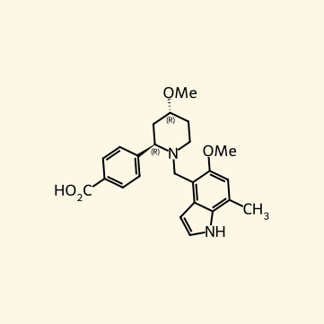 COc1cc(C)c2[nH]ccc2c1CN1CC[C@@H](OC)C[C@@H]1c1ccc(C(=O)O)cc1